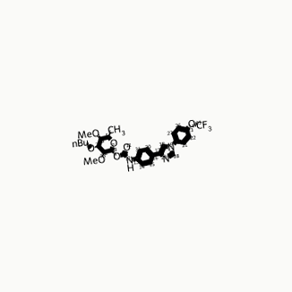 CCCCO[C@@H]1[C@@H](OC)[C@H](C)O[C@@H](OC(=O)Nc2ccc(-c3cn(-c4ccc(OC(F)(F)F)cc4)cn3)cc2)[C@@H]1OC